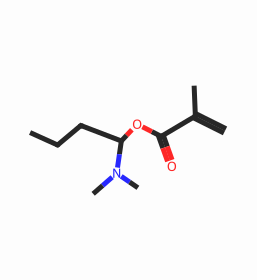 C=C(C)C(=O)OC(CCC)N(C)C